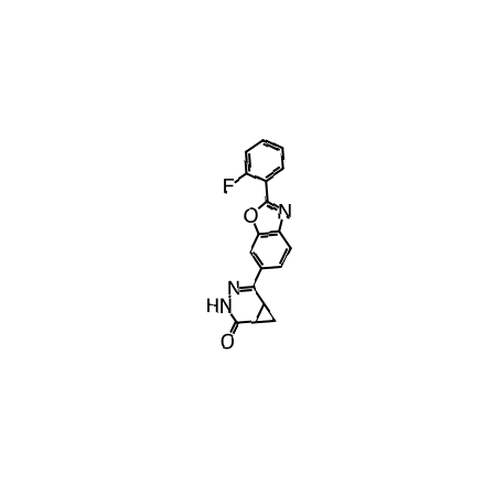 O=C1NN=C(c2ccc3nc(-c4ccccc4F)oc3c2)C2CC12